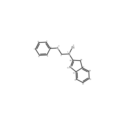 CCN(CSc1ccccc1)C1=Nc2ccccc2C1